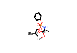 CC(C)OC(=O)[C@H](C)N[P@](=O)(OC[C@@H](C)C(C)(C)C)Oc1ccccc1